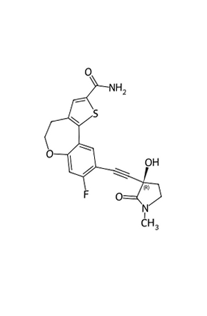 CN1CC[C@@](O)(C#Cc2cc3c(cc2F)OCCc2cc(C(N)=O)sc2-3)C1=O